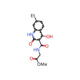 CCc1ccc2c(O)c(C(=O)NCC(=O)OC)c(=O)[nH]c2c1